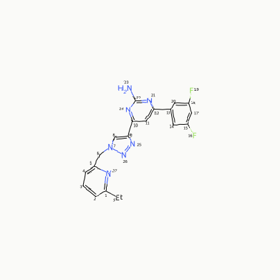 CCc1cccc(Cn2cc(-c3cc(-c4cc(F)cc(F)c4)nc(N)n3)nn2)n1